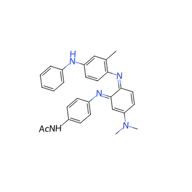 CC(=O)Nc1ccc(/N=C2\C=C(N(C)C)C=C\C2=N\c2ccc(Nc3ccccc3)cc2C)cc1